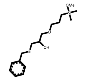 CO[Si](C)(C)CCCOCC(O)CSCc1ccccc1